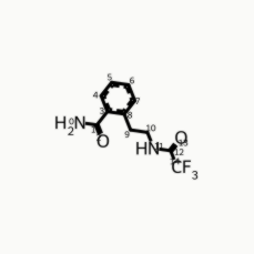 NC(=O)c1ccccc1CCNC(=O)C(F)(F)F